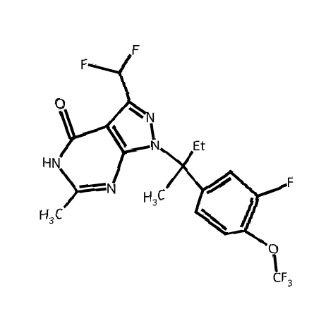 CCC(C)(c1ccc(OC(F)(F)F)c(F)c1)n1nc(C(F)F)c2c(=O)[nH]c(C)nc21